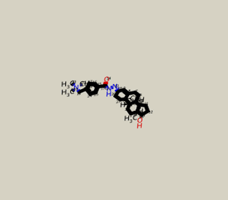 C[C@]12CC[C@H]3[C@@H](CCC4=C/C(=N/NC(=O)c5ccc(C[N+](C)(C)C)cc5)CC[C@@]43C)[C@@H]1CC[C@@H]2O